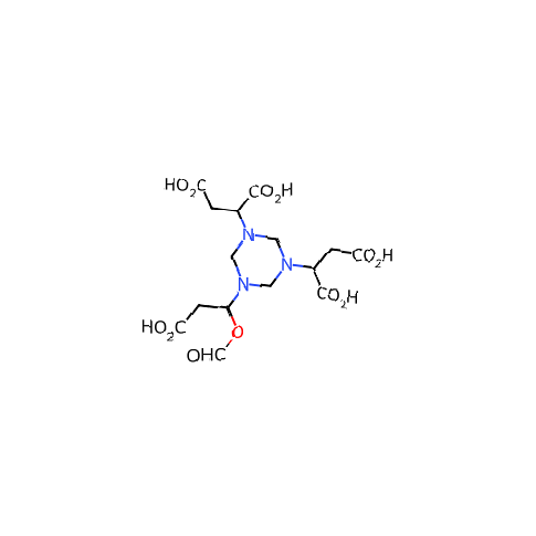 O=COC(CC(=O)O)N1CN(C(CC(=O)O)C(=O)O)CN(C(CC(=O)O)C(=O)O)C1